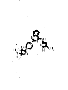 Cc1cc(Nc2nc(N3CCN(C(=O)[C@@](C)(O)C(C)(F)F)CC3)nn3cccc23)n[nH]1